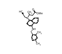 C#CCN(c1ccc(NSc2ccc(C)cc2C)c2ccccc12)C(C)CC(=O)OC